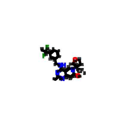 Cc1nc(NCc2cccc(C(C)(F)F)c2)c2cn(C3(C(F)(F)F)CCOC3)c(=O)cc2n1